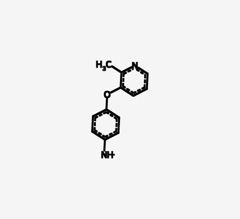 Cc1ncccc1Oc1ccc([NH])cc1